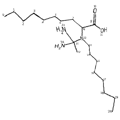 CCCCCCCCC(C(=O)O)N(CCCCCCCC)C(C)(N)N